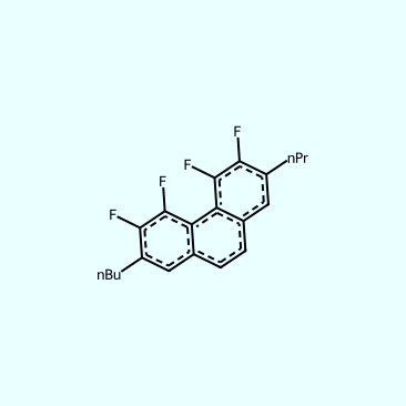 CCCCc1cc2ccc3cc(CCC)c(F)c(F)c3c2c(F)c1F